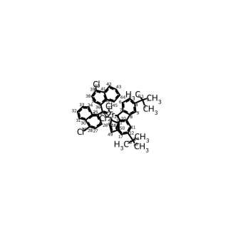 CC(C)(C)c1ccc2c(c1)-c1cc(C(C)(C)C)ccc1[CH]2[Zr]([Cl])([Cl])(=[C](c1ccc(Cl)c2ccccc12)c1ccc(Cl)c2ccccc12)[CH]1C=CC=C1